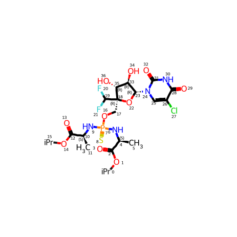 CC(C)OC(=O)[C@H](C)NP(=S)(N[C@@H](C)C(=O)OC(C)C)OC[C@@]1(C(F)F)O[C@@H](n2cc(Cl)c(=O)[nH]c2=O)[C@H](O)[C@H]1O